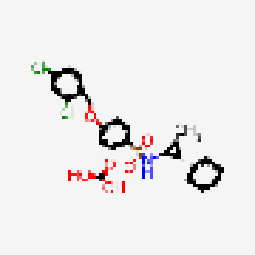 C[C@H]1[C@H](NS(=O)(=O)c2ccc(OCc3ccc(Cl)cc3Cl)cc2)[C@H]1c1ccccc1.O=C(O)O